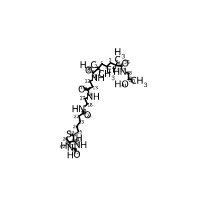 CCC(C)(CCCC(C)(C)C(=O)NCCC(=O)NCCNC(=O)CCCC[C@@H]1SC[C@@H]2NC(=O)N[C@@H]21)C(=O)NCC(C)O